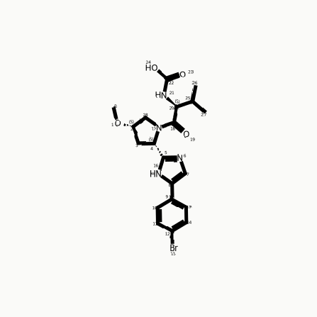 CO[C@H]1C[C@@H](c2ncc(-c3ccc(Br)cc3)[nH]2)N(C(=O)[C@@H](NC(=O)O)C(C)C)C1